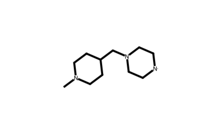 CN1CCC(CN2CC[N]CC2)CC1